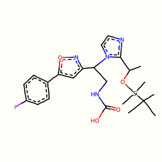 CC(O[Si](C)(C)C(C)(C)C)c1nccn1C(CNC(=O)O)c1cc(-c2ccc(I)cc2)on1